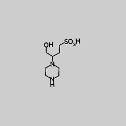 O=S(=O)(O)CCC(CO)N1CCNCC1